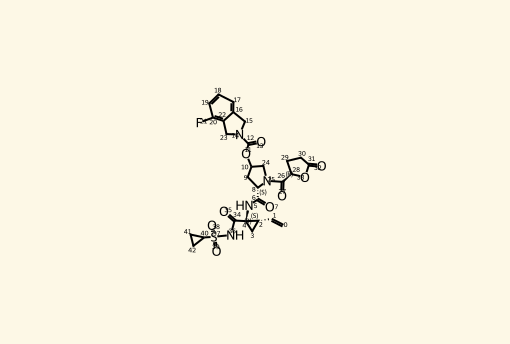 C=C[C@@H]1C[C@]1(NC(=O)[C@@H]1CC(OC(=O)N2Cc3cccc(F)c3C2)CN1C(=O)[C@H]1CCC(=O)O1)C(=O)NS(=O)(=O)C1CC1